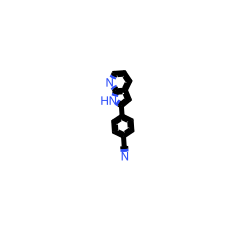 N#Cc1ccc(-c2cc3cccnc3[nH]2)cc1